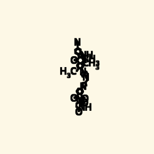 CCc1cc2c(cc1N1CCN(CC3CN(c4ccc5c(c4)C(=O)N(C4CCC(=O)NC4=O)C5=O)C3)CC1)C(C)(C)c1[nH]c3cc(C#N)ccc3c1C2=O